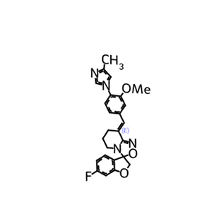 COc1cc(/C=C2\CCCN3C2=NOC32COc3cc(F)ccc32)ccc1-n1cnc(C)c1